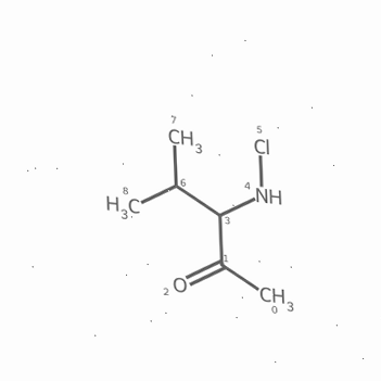 CC(=O)C(NCl)C(C)C